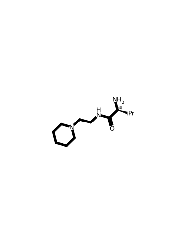 CC(C)[C@H](N)C(=O)NCCN1CCCCC1